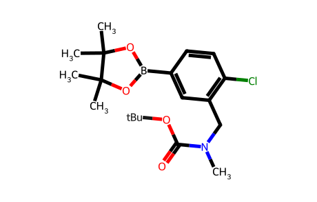 CN(Cc1cc(B2OC(C)(C)C(C)(C)O2)ccc1Cl)C(=O)OC(C)(C)C